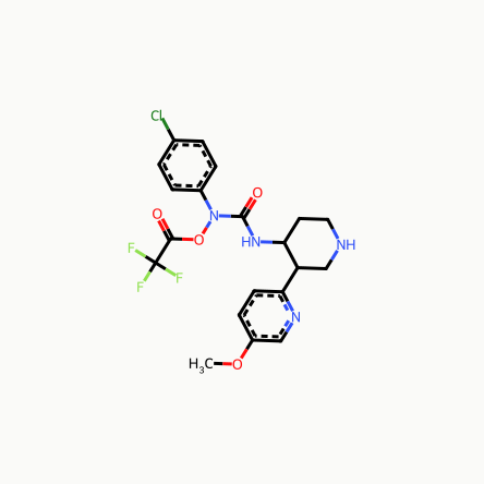 COc1ccc(C2CNCCC2NC(=O)N(OC(=O)C(F)(F)F)c2ccc(Cl)cc2)nc1